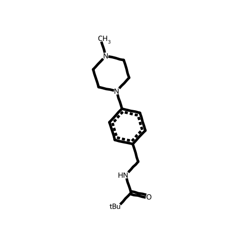 CN1CCN(c2ccc(CNC(=O)C(C)(C)C)cc2)CC1